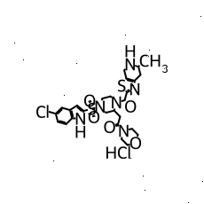 CC1Cc2nc(C(=O)N3CCN(S(=O)(=O)c4cc5cc(Cl)ccc5[nH]4)CC3CC(=O)N3CCOCC3)sc2CN1.Cl